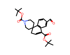 CC(C)(C)OC(=O)C1=CCC2(CCN(C(=O)OC(C)(C)C)CC2)c2ccc(C=O)cc21